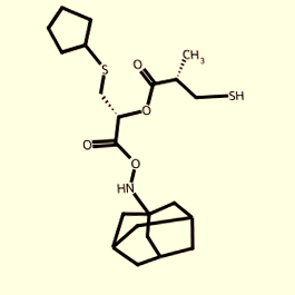 C[C@H](CS)C(=O)O[C@@H](CSC1CCCC1)C(=O)ONC12CC3CC(CC(C3)C1)C2